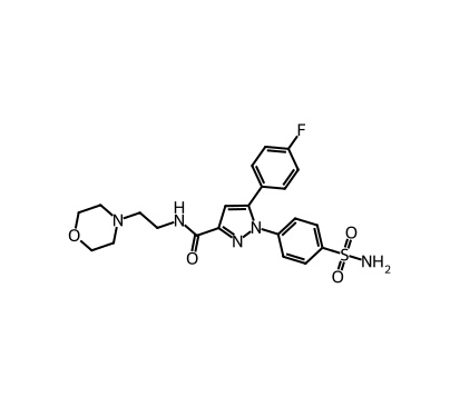 NS(=O)(=O)c1ccc(-n2nc(C(=O)NCCN3CCOCC3)cc2-c2ccc(F)cc2)cc1